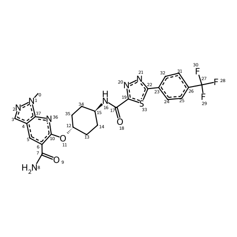 Cn1ncc2cc(C(N)=O)c(O[C@H]3CC[C@H](NC(=O)c4nnc(-c5ccc(C(F)(F)F)cc5)s4)CC3)nc21